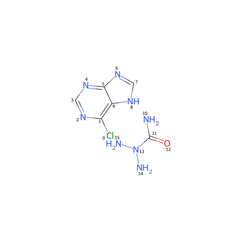 Clc1ncnc2nc[nH]c12.NC(=O)N(N)N